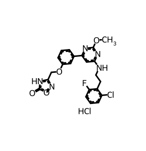 COc1nc(NCCc2c(F)cccc2Cl)cc(-c2cccc(OCc3noc(=O)[nH]3)c2)n1.Cl